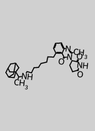 Cc1nc2cccc(CCCCCCCCNC(C)C34CC5CC(CC(C5)C3)C4)c2c(=O)n1[C@H]1CCC(=O)NC1=O